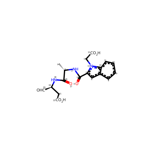 C[C@H](NC(=O)c1cc2ccccc2n1CC(=O)O)C(=O)N[C@H](C=O)CC(=O)O